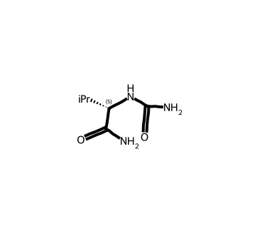 CC(C)[C@H](NC(N)=O)C(N)=O